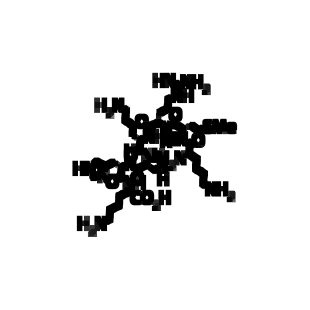 CSCC[C@H](NC(=O)[C@@H](N)CCCCN)C(=O)N[C@@H](CCCNC(=N)N)C(=O)N[C@@H](CCCCN)C(=O)N[C@@H](CS)C(=O)N[C@@H](Cc1c[nH]cn1)C(=O)N[C@@H](CCCCN)C(=O)O